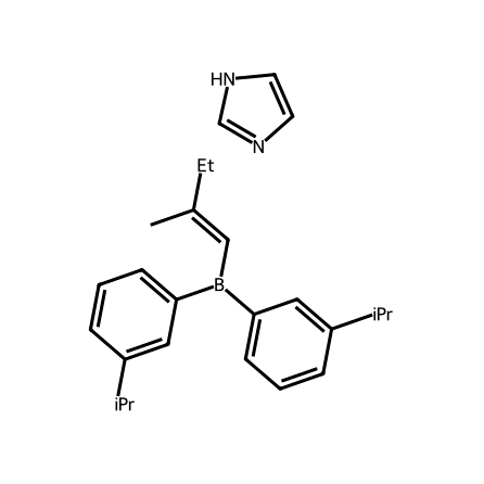 CCC(C)=CB(c1cccc(C(C)C)c1)c1cccc(C(C)C)c1.c1c[nH]cn1